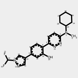 CN(c1ccc(-c2ccc(-c3cnn(C(F)F)c3)cc2O)nn1)C1CCCCC1